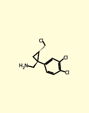 NC[C@@]1(c2ccc(Cl)c(Cl)c2)C[C@@H]1CCl